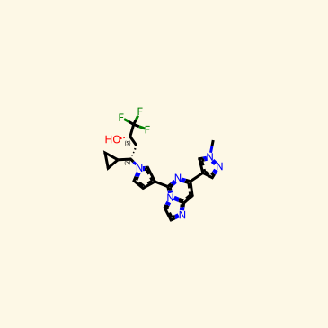 Cn1cc(-c2cc3nccn3c(-c3ccn([C@@H](C[C@H](O)C(F)(F)F)C4CC4)c3)n2)cn1